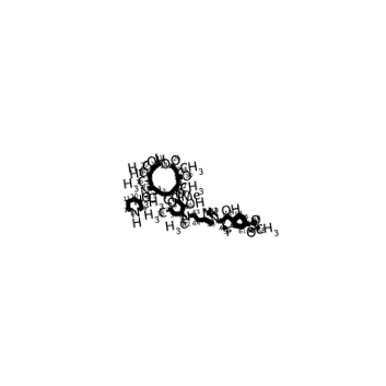 CO[C@]1(C)C[C@@H](C)/C(=N\O[C@@H]2CCCNC2)[C@H](C)[C@@H](O)[C@](C)(O)[C@@H](I)OC(=O)[C@H](C)C(=O)[C@H](C)[C@H]1O[C@@H]1O[C@H](C)C[C@H](N(C)CCc2cn([C@H](CF)[C@H](O)c3ccc(S(C)(=O)=O)cc3)nn2)[C@H]1O